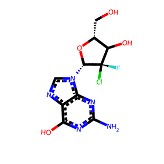 Nc1nc(O)c2ncn([C@@H]3O[C@H](CO)C(O)[C@]3(F)Cl)c2n1